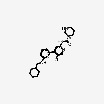 O=C(Nc1cc(-c2cccc(NCC3CCCCC3)n2)c(Cl)cn1)[C@H]1CCCNC1